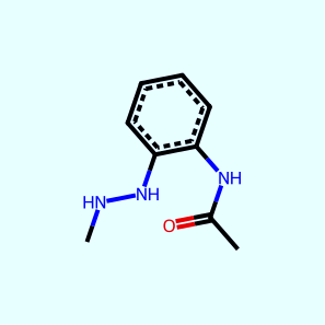 CNNc1ccccc1NC(C)=O